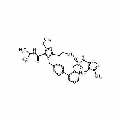 CCCc1nc(CC)c(C(=O)NC(C)C)n1Cc1ccc(-c2ccccc2CS(=O)(=O)Nc2noc(C)c2C)cc1